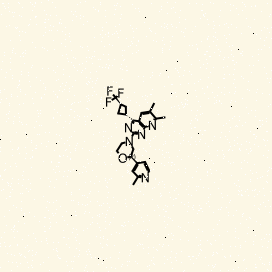 Cc1cc([C@@H]2CN(c3nc4nc(C)c(C)cc4c([C@H]4C[C@H](C(F)(F)F)C4)n3)CCO2)ccn1